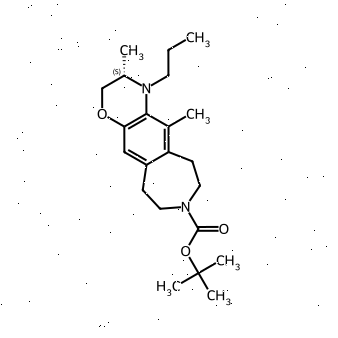 CCCN1c2c(cc3c(c2C)CCN(C(=O)OC(C)(C)C)CC3)OC[C@@H]1C